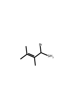 CC(C)=C(C)C([SiH3])Br